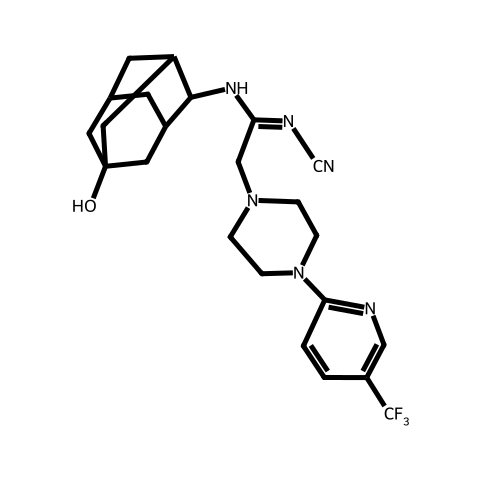 N#C/N=C(\CN1CCN(c2ccc(C(F)(F)F)cn2)CC1)NC1C2CC3CC1CC(O)(C3)C2